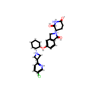 O=C1CC[C@@H](N2Cc3cc(O[C@@H]4CCCC[C@H]4N4CC(c5ccc(Cl)cn5)C4)ccc3C2=O)C(=O)N1